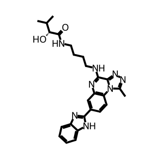 Cc1nnc2c(NCCCCNC(=O)[C@H](O)C(C)C)nc3cc(-c4nc5ccccc5[nH]4)ccc3n12